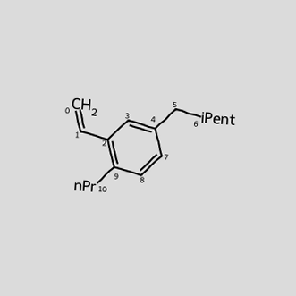 C=Cc1cc(CC(C)CCC)ccc1CCC